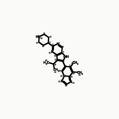 Cc1c(-c2[nH]c3cnc(C4CCNCC4)nc3c2C(C)C)cn2ncnc2c1C